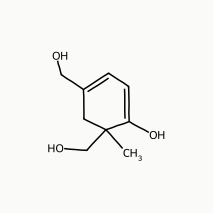 CC1(CO)CC(CO)=CC=C1O